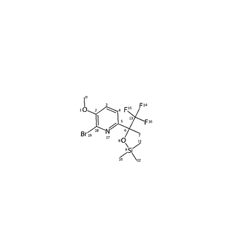 COc1ccc(C(C)(O[Si](C)(C)C)C(F)(F)F)nc1Br